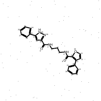 O=C(NCCCNC(=O)c1occc1-c1ccccc1)c1cc(-c2ccccc2)[nH]n1